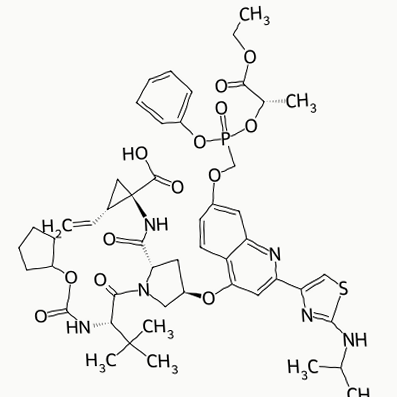 C=C[C@@H]1C[C@]1(NC(=O)[C@@H]1C[C@@H](Oc2cc(-c3csc(NC(C)C)n3)nc3cc(OCP(=O)(Oc4ccccc4)O[C@@H](C)C(=O)OCC)ccc23)CN1C(=O)[C@@H](NC(=O)OC1CCCC1)C(C)(C)C)C(=O)O